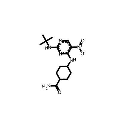 CC(C)(C)Nc1ncc([N+](=O)[O-])c(NC2CCC(C(N)=O)CC2)n1